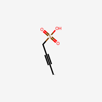 [CH2]C#CCS(=O)(=O)O